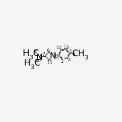 Cc1ccc(N2CC(N(C)C)C2)cc1